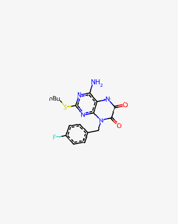 CCCCSc1nc(N)c2c(n1)N(Cc1ccc(F)cc1)C(=O)C(=O)[N]2